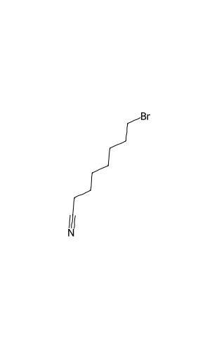 N#CCCCCCCCBr